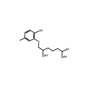 CCC(CCCC(CSc1cc(C)ccc1O)SC)SC